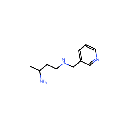 CC(N)CCNCc1cccnc1